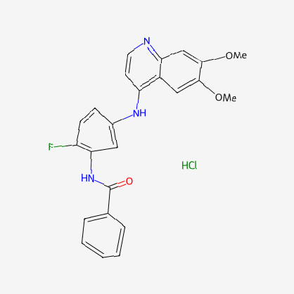 COc1cc2nccc(Nc3ccc(F)c(NC(=O)c4ccccc4)c3)c2cc1OC.Cl